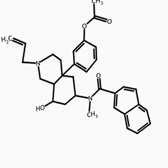 C=CCN1CCC2(c3cccc(OC(C)=O)c3)CC(N(C)C(=O)c3ccc4ccccc4c3)CC(O)C2C1